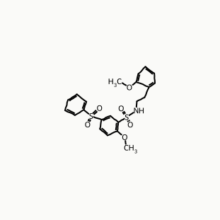 COc1ccccc1CCNS(=O)(=O)c1cc(S(=O)(=O)c2ccccc2)ccc1OC